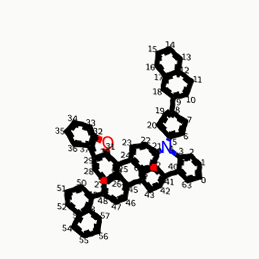 c1ccc(N(c2ccc(-c3ccc4ccccc4c3)cc2)c2ccc(-c3cccc4c3oc3ccccc34)cc2)c(-c2ccc(-c3ccc(-c4cccc5ccccc45)cc3)cc2)c1